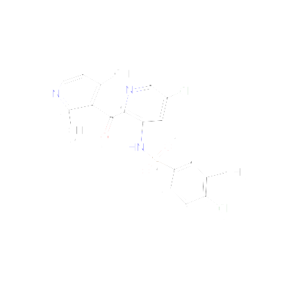 Cc1cc(S(=O)(=O)Nc2cc(Cl)cnc2C(=O)c2c(C)ccnc2C)ccc1Cl